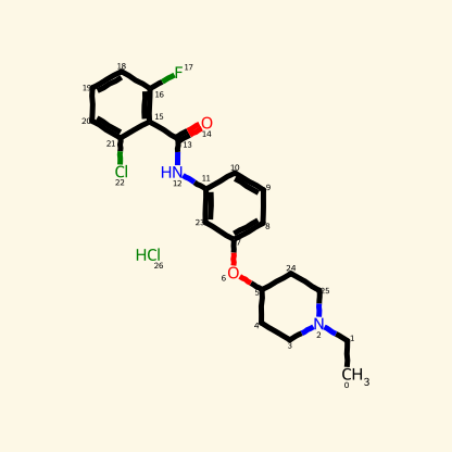 CCN1CCC(Oc2cccc(NC(=O)c3c(F)cccc3Cl)c2)CC1.Cl